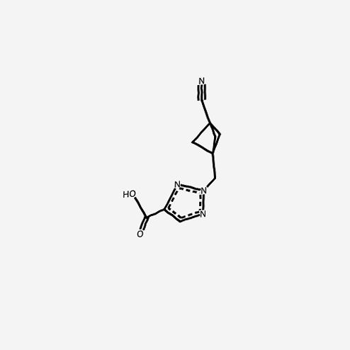 N#CC12CC(Cn3ncc(C(=O)O)n3)(C1)C2